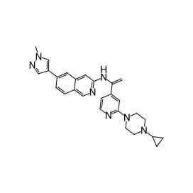 C=C(Nc1cc2cc(-c3cnn(C)c3)ccc2cn1)c1ccnc(N2CCN(C3CC3)CC2)c1